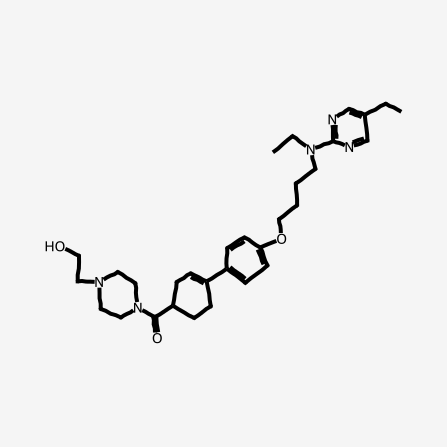 CCc1cnc(N(CC)CCCCOc2ccc(C3=CCC(C(=O)N4CCN(CCO)CC4)CC3)cc2)nc1